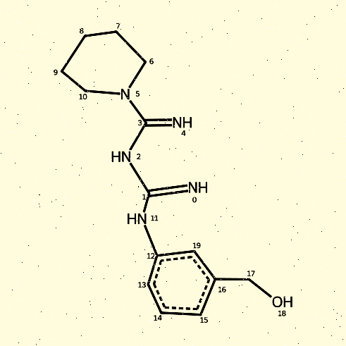 N=C(NC(=N)N1CCCCC1)Nc1cccc(CO)c1